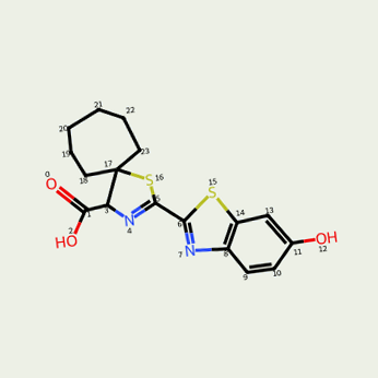 O=C(O)C1N=C(c2nc3ccc(O)cc3s2)SC12CCCCCC2